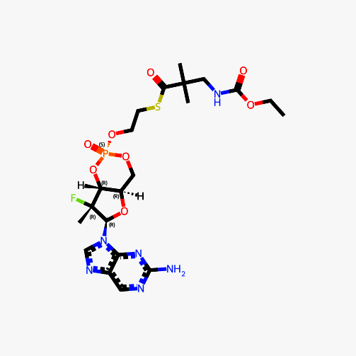 CCOC(=O)NCC(C)(C)C(=O)SCCO[P@]1(=O)OC[C@H]2O[C@@H](n3cnc4cnc(N)nc43)[C@](C)(F)[C@@H]2O1